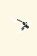 CCOc1cc(NCCCCCCN)ccc1-n1c(CN2CCN(CC)CC2)nc2ccccc2c1=O